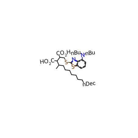 CCCCCCCCCCCCCCCCCC(C)C(C(=O)O)C(CSc1nc2c(N(CCCC)CCCC)cccc2s1)C(=O)O